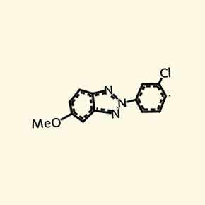 COc1ccc2nn(-c3cc[c]c(Cl)c3)nc2c1